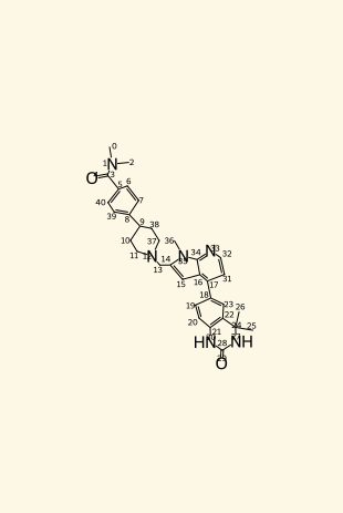 CN(C)C(=O)c1ccc(C2CCN(Cc3cc4c(-c5ccc6c(c5)C(C)(C)NC(=O)N6)ccnc4n3C)CC2)cc1